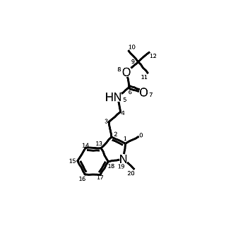 Cc1c(CCNC(=O)OC(C)(C)C)c2ccccc2n1C